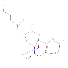 CC(C)CCCC(=O)N[C@H]1C[C@@]2(O)[C@H]3Cc4ccc(O)cc4[C@@]2(CCN3C)CC1O